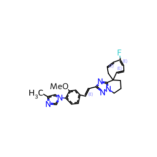 COc1cc(/C=C/c2nc3n(n2)CCCC32/C=C/C=C(F)\C=C/C2)ccc1-n1cnc(C)c1